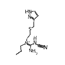 CCC[N+](CCSCc1cc[nH]n1)=C(N)NC#N